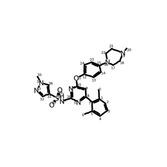 Cc1cccc(C)c1-c1cc(Oc2ccc(N3CCN(C)CC3)cc2)nc(NS(=O)(=O)c2cnn(C)c2)n1